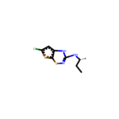 CC[C@@H](C)NC1=NSc2sc(Cl)cc2N1